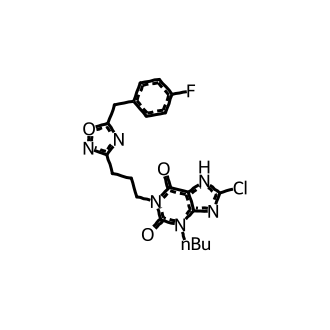 CCCCn1c(=O)n(CCCc2noc(Cc3ccc(F)cc3)n2)c(=O)c2[nH]c(Cl)nc21